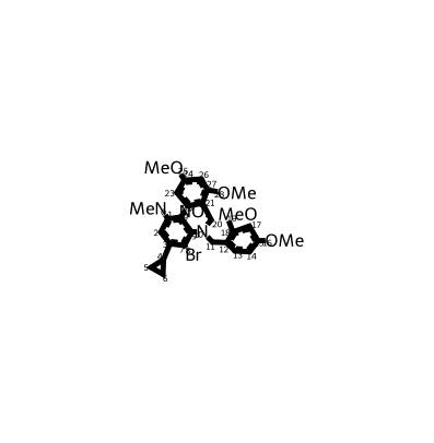 CNc1cc(C2CC2)c(Br)c(N(Cc2ccc(OC)cc2OC)Cc2ccc(OC)cc2OC)c1[N+](=O)[O-]